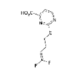 O=C(O)c1ccnc(SCCC=C(F)F)n1